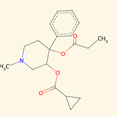 CCC(=O)OC1(c2ccccc2)CCN(C)CC1OC(=O)C1CC1